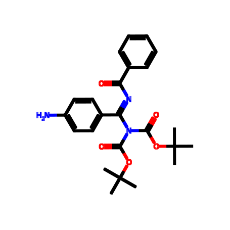 CC(C)(C)OC(=O)N(C(=O)OC(C)(C)C)C(=NC(=O)c1ccccc1)c1ccc(N)cc1